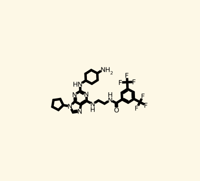 NC1CCC(Nc2nc(NCCNC(=O)c3cc(C(F)(F)F)cc(C(F)(F)F)c3)c3ncn(C4CCCC4)c3n2)CC1